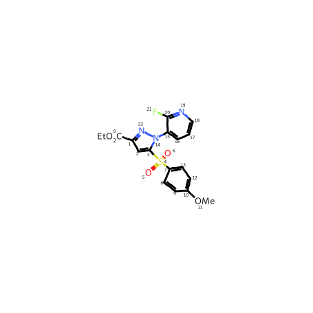 CCOC(=O)c1cc(S(=O)(=O)c2ccc(OC)cc2)n(-c2cccnc2F)n1